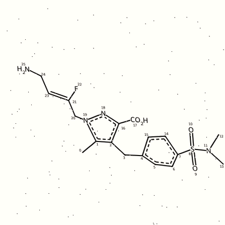 Cc1c(Cc2ccc(S(=O)(=O)N(C)C)cc2)c(C(=O)O)nn1CC(F)=CCN